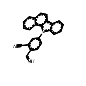 N#Cc1cc(-n2c3ccccc3c3ccc4ccccc4c32)ccc1C=N